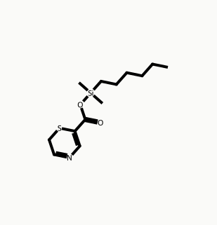 CCCCCC[Si](C)(C)OC(=O)C1=CN=CCS1